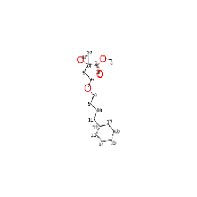 COC(=O)C1(CCOCCCCC2CCCCC2)CO1